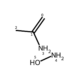 C=C(C)N.NO